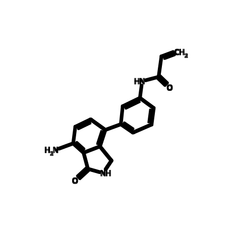 C=CC(=O)Nc1cccc(-c2ccc(N)c3c2CNC3=O)c1